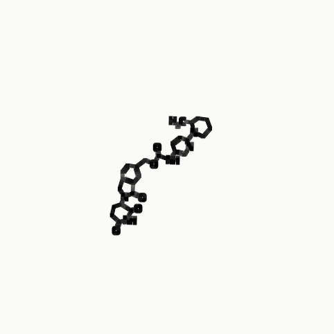 CC1CCCCN1c1ccc(NC(=O)OCc2ccc3c(c2)C(=O)N(C2CCC(=O)NC2=O)C3)cn1